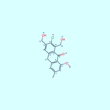 COc1cc(C)cc2c1C(=O)c1c(cc(CO)c(Cl)c1CO)C2